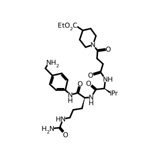 CCOC(=O)C1CCN(C(=O)CCC(=O)N[C@H](C(=O)N[C@@H](CCCNC(N)=O)C(=O)Nc2ccc(CN)cc2)C(C)C)CC1